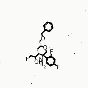 N[C@@]1(c2ccc(F)cc2F)CO[C@@H](COCc2ccccc2)C[C@H]1[C@@H](O)CF